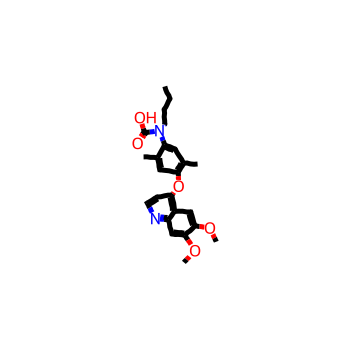 CCCCN(C(=O)O)c1cc(C)c(Oc2ccnc3cc(OC)c(OC)cc23)cc1C